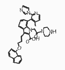 Cc1ccnc(-n2ccnc2)c1-c1cccc2c(CCCOc3cccc4ccccc34)c(C(=O)O)n(CC(=O)N3CCNCC3)c12